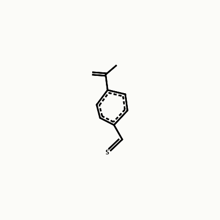 C=C(C)c1ccc(C=S)cc1